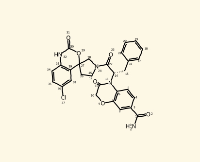 NC(=O)c1ccc2c(c1)OCC(=O)N2[C@@H](Cc1ccccc1)C(=O)N1CCC2(C1)OC(=O)Nc1ccc(Cl)cc12